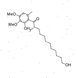 COc1cc(C)c(C(=O)C(I)CCCCCCCCCCO)c(O)c1OC